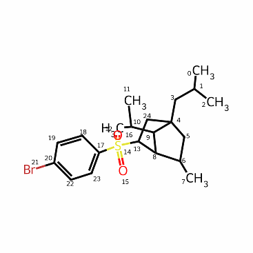 CC(C)CC12CC(C)C(C1C(C)C)C(S(=O)(=O)c1ccc(Br)cc1)C2